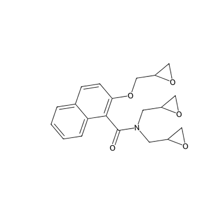 O=C(c1c(OCC2CO2)ccc2ccccc12)N(CC1CO1)CC1CO1